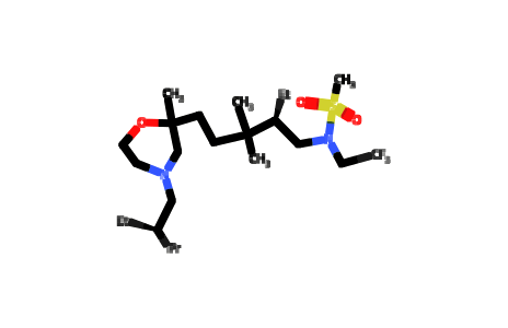 CC[C@@H](CN1CCOC(C)(CCC(C)(C)[C@@H](CC)CN(CC(F)(F)F)S(C)(=O)=O)C1)C(C)C